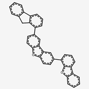 c1ccc2c(c1)Cc1c(-c3ccc4oc5ccc(-c6cccc7c6oc6ccccc67)cc5c4c3)cccc1-2